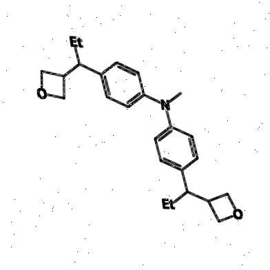 CCC(c1ccc(N(C)c2ccc(C(CC)C3COC3)cc2)cc1)C1COC1